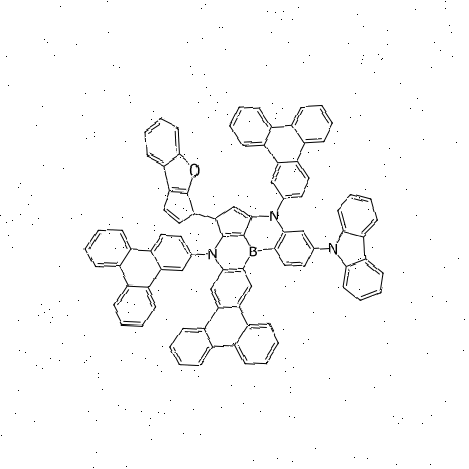 C1=CC(C2C=C3C4=C2N(c2ccc5c6ccccc6c6ccccc6c5c2)c2cc5c6ccccc6c6ccccc6c5cc2B4c2ccc(-n4c5ccccc5c5ccccc54)cc2N3c2ccc3c4ccccc4c4ccccc4c3c2)c2oc3ccccc3c21